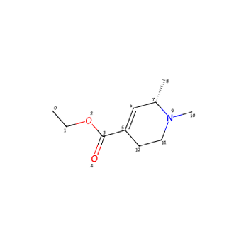 CCOC(=O)C1=C[C@H](C)N(C)CC1